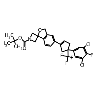 CC(C)(C)OC(=O)N1CC2(C1)OCc1cc(C3=CCC(c4cc(Cl)c(F)c(Cl)c4)(C(F)(F)F)C3)ccc12